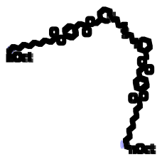 CCCCCCCC/C=C\CCCCCCCC(=O)Oc1ccc(CC(=O)OCC2CCCN(CCSSCCN3CCCC(COC(=O)Cc4ccc(OC(=O)CCCCCCC/C=C\CCCCCCCC)cc4)C3)C2)cc1